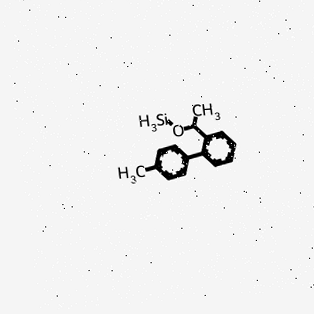 Cc1ccc(-c2ccccc2C(C)O[SiH3])cc1